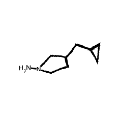 NN1CCC(CC2CC2)C1